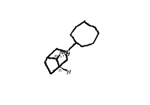 N[C@@H]1C2CC[C@H]1CN(C1CCCCCCC1)C2